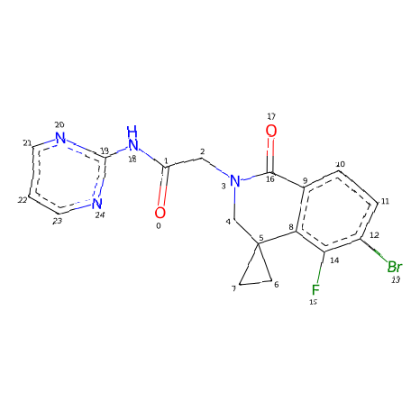 O=C(CN1CC2(CC2)c2c(ccc(Br)c2F)C1=O)Nc1ncccn1